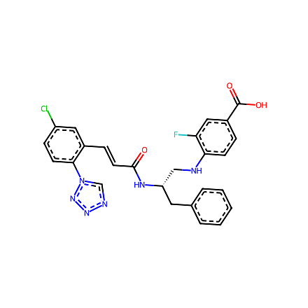 O=C(/C=C/c1cc(Cl)ccc1-n1cnnn1)N[C@H](CNc1ccc(C(=O)O)cc1F)Cc1ccccc1